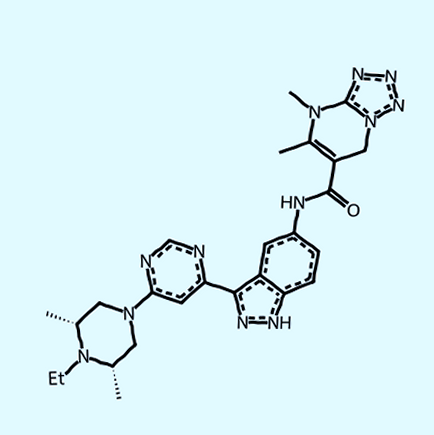 CCN1[C@H](C)CN(c2cc(-c3n[nH]c4ccc(NC(=O)C5=C(C)N(C)c6nnnn6C5)cc34)ncn2)C[C@@H]1C